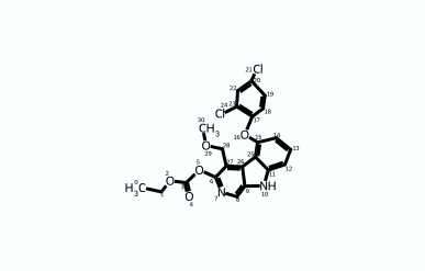 CCOC(=O)Oc1ncc2[nH]c3cccc(Oc4ccc(Cl)cc4Cl)c3c2c1COC